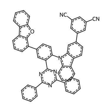 N#Cc1cc(C#N)cc(-c2ccc3c4ccccc4n(-c4ccc(-c5cccc6c5oc5ccccc56)cc4-c4nc(-c5ccccc5)nc(-c5ccccc5)n4)c3c2)c1